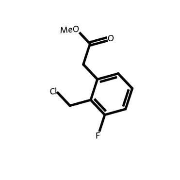 COC(=O)Cc1cccc(F)c1CCl